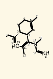 C=C(C)[C@@H]1CCC(C)=C[C@H]1/C(=C(/C)O)N(C)C=N